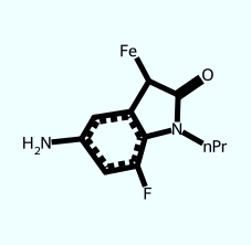 CCCN1C(=O)[CH]([Fe])c2cc(N)cc(F)c21